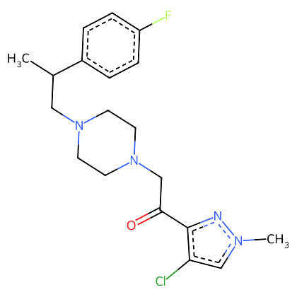 CC(CN1CCN(CC(=O)c2nn(C)cc2Cl)CC1)c1ccc(F)cc1